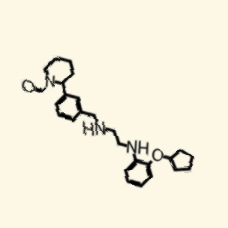 O=CN1CCCCC1c1cccc(CNCCNc2ccccc2OC2CCCC2)c1